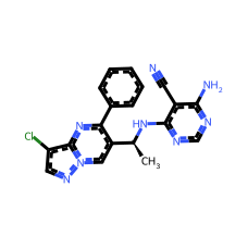 C[C@H](Nc1ncnc(N)c1C#N)c1cn2ncc(Cl)c2nc1-c1ccccc1